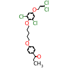 CCC(=O)c1ccc(OCCCCCOc2c(Cl)cc(OCC=C(Cl)Cl)cc2Cl)cc1